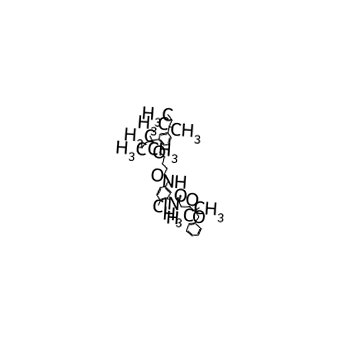 CCC(C)(C)c1ccc(OCCCC(=O)Nc2ccc(Cl)c(NC(=O)CC(=O)C(C)(C)Oc3ccccc3)c2)c(C(C)(C)CC)c1